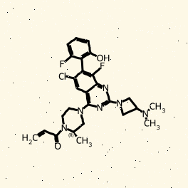 C=CC(=O)N1CCN(c2nc(N3CC(N(C)C)C3)nc3c(F)c(-c4c(O)cccc4F)c(Cl)cc23)C[C@H]1C